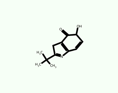 CC(C)(C)C1=NC2=C(C1)C(=O)C(O)C=C2